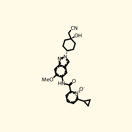 COc1cc2nn([C@H]3CC[C@@](O)(CC#N)CC3)cc2cc1NC(=O)c1cccc(C2CC2)[n+]1[O-]